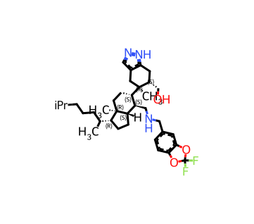 CC(C)CCCC(C)[C@H]1CC[C@H]2[C@H](CNCc3ccc4c(c3)OC(F)(F)O4)[C@@H]([C@@]3(C)Cc4cn[nH]c4C[C@@H]3CO)CC[C@]12C